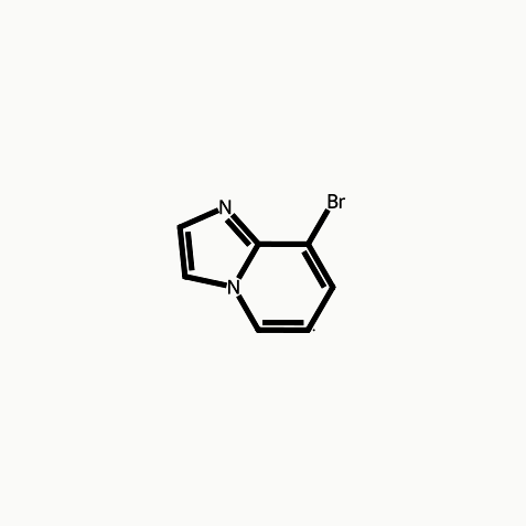 Brc1c[c]cn2ccnc12